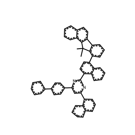 CC1(C)c2c(cccc2-c2ccc(-c3nc(-c4ccc(-c5ccccc5)cc4)cc(-c4cccc5ccccc45)n3)c3ccccc23)-c2ccc3ccccc3c21